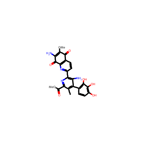 COC(=O)c1nc(-c2ccc3c(n2)C(=O)C(N)=C(OC)C3=O)c(N)c(-c2ccc(O)c(O)c2O)c1C